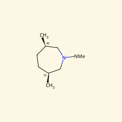 CNN1C[C@H](C)CC[C@H](C)C1